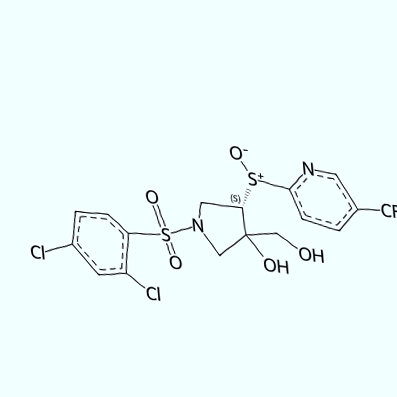 O=S(=O)(c1ccc(Cl)cc1Cl)N1C[C@H]([S+]([O-])c2ccc(C(F)(F)F)cn2)C(O)(CO)C1